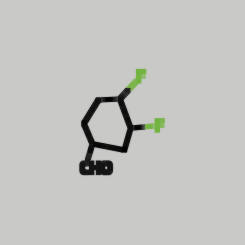 O=CC1CCC(F)C(F)C1